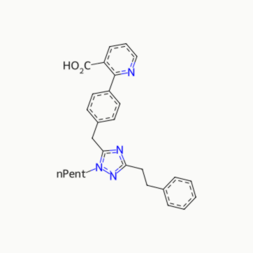 CCCCCn1nc(CCc2ccccc2)nc1Cc1ccc(-c2ncccc2C(=O)O)cc1